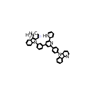 C/C=C\C1=C(N)C2C=CC=CC2N1c1cccc(-c2cc(-c3ccc(N4c5ccccc5C5N=CC=CC54)cc3)nc(C3C=CC=CN3)c2)c1